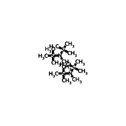 CN([Si](C)(C)C)[Si](C)(C)C.CN([Si](C)(C)C)[Si](C)(C)C